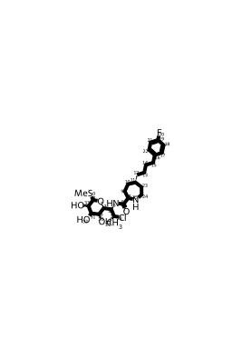 CSC1O[C@H]([C@H](NC(=O)C2CC[C@H](CCCCc3ccc(F)cc3)CCN2)[C@H](C)Cl)[C@@H](O)C(O)[C@H]1O